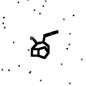 CCC1C(N=C=S)CC2CC3CC1C3C2